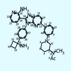 CC(=O)N(C)C1CCCN(c2cccc(-c3ccc4nc(-c5cccnc5N)n(-c5ccc(C6(N)CCC6)cc5)c4n3)c2)C1